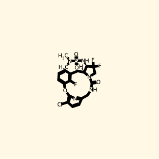 CN(C)S(=O)(=O)N[C@@H]1[C@@H]2Cc3cccc(c3F)Oc3nc(ccc3Cl)CNC(=O)N2CC1(F)F